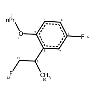 CCCOc1ccc(F)cc1[C](C)CF